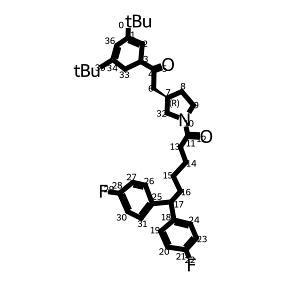 CC(C)(C)C1=CC(C(=O)C[C@H]2CCN(C(=O)CCCCC(c3ccc(F)cc3)c3ccc(F)cc3)C2)CC(C(C)(C)C)=C1